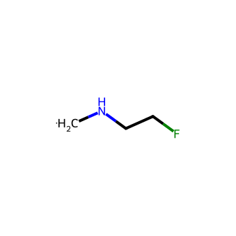 [CH2]NCCF